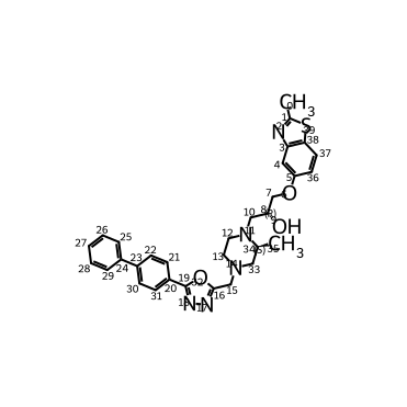 Cc1nc2cc(OC[C@H](O)CN3CCN(Cc4nnc(-c5ccc(-c6ccccc6)cc5)o4)C[C@@H]3C)ccc2s1